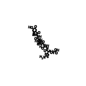 CC(C)(ON=C(C(=O)N[C@H]1CN(C(=O)NS(=O)(=O)NNC(=O)NNC(=O)c2cc(=O)c(O)c[nH]2)C1=O)c1csc(N)n1)C(=O)O